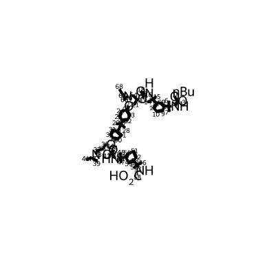 CCCCOC(=O)NC(C)(C)c1cccc(C(C)(C)NC(=O)OC(COc2ccc(C(C)(C)c3ccc(OCC(CN4CC4C)OC(=O)NC(C)(C)c4cccc(C(C)(C)NC(=O)O)c4)cc3)cc2)CN2CC2C)c1